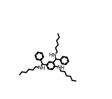 CCCCCCNc1ccc(C(NCCCCCC)c2ccccc2)cc1C(NCCCCCC)c1ccccc1